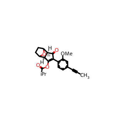 CC#Cc1ccc(C2=C(OC(=O)C(C)C)[C@H]3C4CCC(O4)[C@H]3C2=O)c(OC)c1